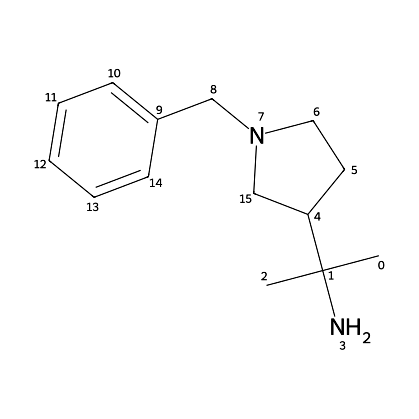 CC(C)(N)C1CCN(Cc2ccccc2)C1